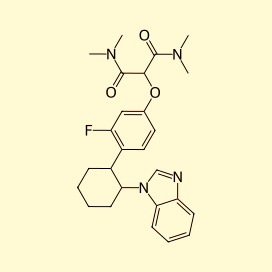 CN(C)C(=O)C(Oc1ccc(C2CCCCC2n2cnc3ccccc32)c(F)c1)C(=O)N(C)C